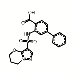 O=C(O)c1ccc(-c2ccccc2)cc1NS(=O)(=O)c1cnn2c1OCCC2